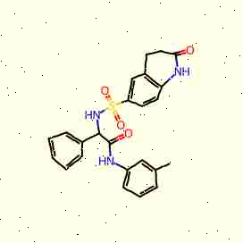 Cc1cccc(NC(=O)C(NS(=O)(=O)c2ccc3c(c2)CCC(=O)N3)c2ccccc2)c1